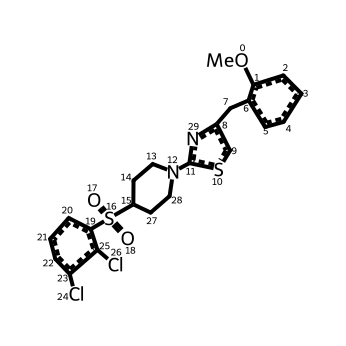 COc1ccccc1Cc1csc(N2CCC(S(=O)(=O)c3cccc(Cl)c3Cl)CC2)n1